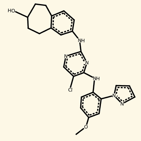 COc1ccc(Nc2nc(Nc3ccc4c(c3)CCC(O)CC4)ncc2Cl)c(-n2cccn2)c1